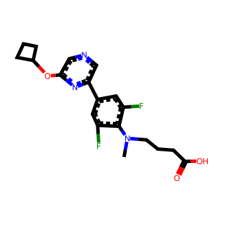 CN(CCCC(=O)O)c1c(F)cc(-c2cncc(OC3CCC3)n2)cc1F